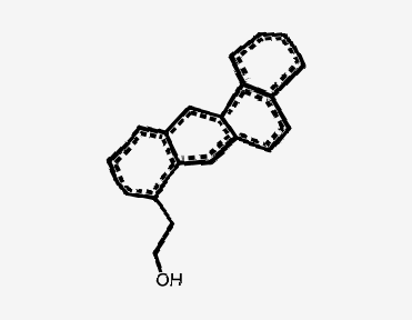 OCCc1cccc2cc3c(ccc4ccccc43)cc12